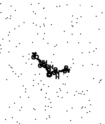 C=C(C)C(=O)OCCCNC(=O)OCc1ccccc1OCC(O)COC(=O)NCCCOC(=O)C(=C)C